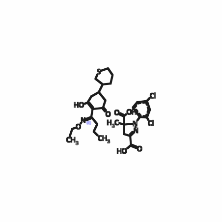 CC1(C(=O)O)CC(C(=O)O)=NN1c1ccc(Cl)cc1Cl.CCC/C(=N\OCC)C1=C(O)CC(C2CCCSC2)CC1=O